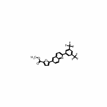 COC(=O)c1ccc(-c2ccc3nc(-c4cc(C(F)(F)F)cc(C(F)(F)F)c4)ccc3c2)o1